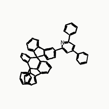 c1ccc(-c2cc(-c3ccccc3)nc(-c3ccc4c(c3)-c3ccccc3C43c4ccccc4C4(c5ccccc5)c5ccccc5-c5cccc3c54)c2)cc1